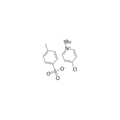 CC(C)(C)[n+]1ccc(Cl)cc1.Cc1ccc(S(=O)(=O)[O-])cc1